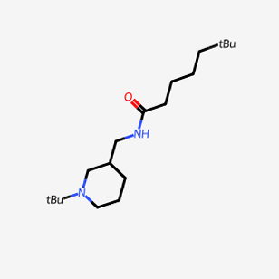 CC(C)(C)CCCCC(=O)NCC1CCCN(C(C)(C)C)C1